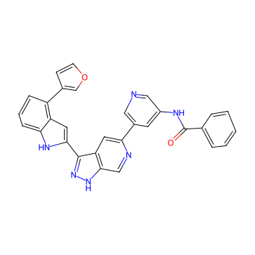 O=C(Nc1cncc(-c2cc3c(-c4cc5c(-c6ccoc6)cccc5[nH]4)n[nH]c3cn2)c1)c1ccccc1